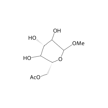 COC1O[C@H](COC(C)=O)C(O)[C@H](O)C1O